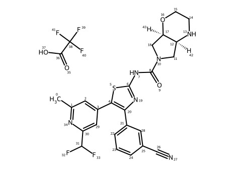 Cc1cc(-c2sc(NC(=O)N3C[C@@H]4NCCO[C@@H]4C3)nc2-c2cccc(C#N)c2)cc(C(F)F)n1.O=C(O)C(F)(F)F